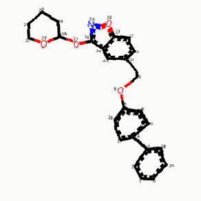 c1ccc(-c2ccc(OCc3ccc4onc(OC5CCCCO5)c4c3)cc2)cc1